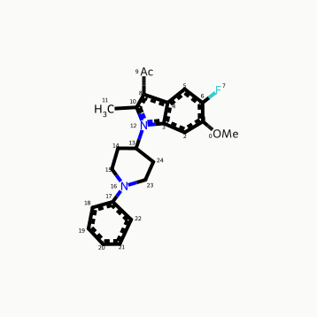 COc1cc2c(cc1F)c(C(C)=O)c(C)n2C1CCN(c2ccccc2)CC1